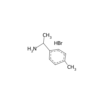 Br.Cc1ccc(C(C)N)cc1